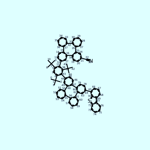 CC(C)(C)c1cc(C(C)(C)C)c(-c2ccc3c(c2)-c2ccc(C#N)cc2-c2ccccc2-c2ccccc2-3)c(C(C)(C)C)c1-c1ccc2c(c1)-c1ccccc1-c1ccccc1-c1cc(-c3cccc4c3sc3ccccc34)ccc1-2